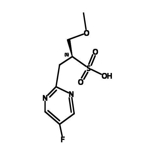 COC[C@H](Cc1ncc(F)cn1)S(=O)(=O)O